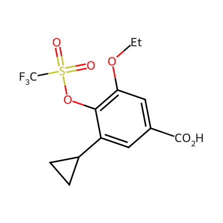 CCOc1cc(C(=O)O)cc(C2CC2)c1OS(=O)(=O)C(F)(F)F